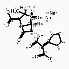 CC1(C)C(C(=O)[O-])N2C(=O)[C@@H](NC(=O)C(C(=O)[O-])=C3SCCS3)[C@H]2S1(=O)=O.[Na+].[Na+]